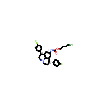 O=C(Nc1cc2c3c(c1)[C@H](c1ccc(F)cc1)CCN3CC[C@H]2c1ccc(F)cc1)OCCCCCl